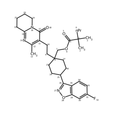 CCCC(C)(C)C(=O)OCC1(CCc2c(C)nc3n(c2=O)CCCC3)CCC(c2noc3cc(F)ccc23)CC1